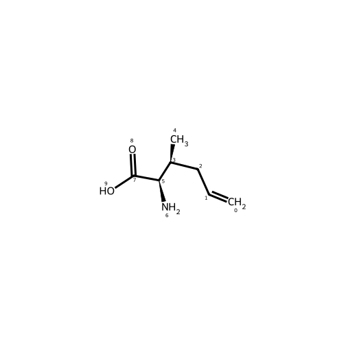 C=CC[C@H](C)[C@@H](N)C(=O)O